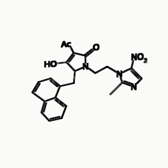 CC(=O)C1=C(O)C(Cc2cccc3ccccc23)N(CCn2c([N+](=O)[O-])cnc2C)C1=O